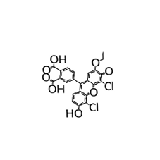 CCOc1cc2c(-c3ccc(C(=O)O)c(C(=O)O)c3)c3ccc(O)c(Cl)c3oc-2c(Cl)c1=O